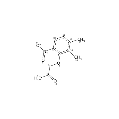 CC(=O)COc1c([N+](=O)[O-])ccc(C)c1C